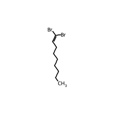 CCCCCCCC=C(Br)Br